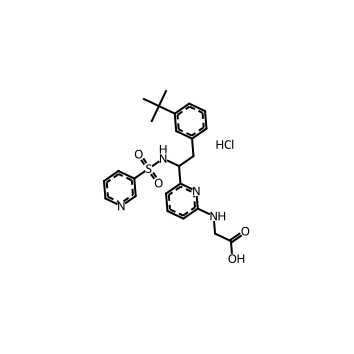 CC(C)(C)c1cccc(CC(NS(=O)(=O)c2cccnc2)c2cccc(NCC(=O)O)n2)c1.Cl